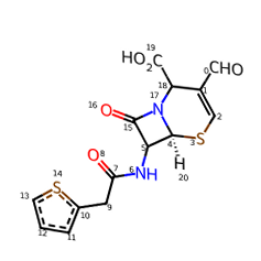 O=CC1=CS[C@H]2C(NC(=O)Cc3cccs3)C(=O)N2C1C(=O)O